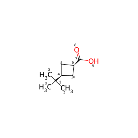 CC(C)(C)[C@H]1C[C@@H](C(=O)O)C1